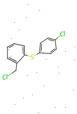 ClCc1ccccc1Sc1ccc(Cl)cc1